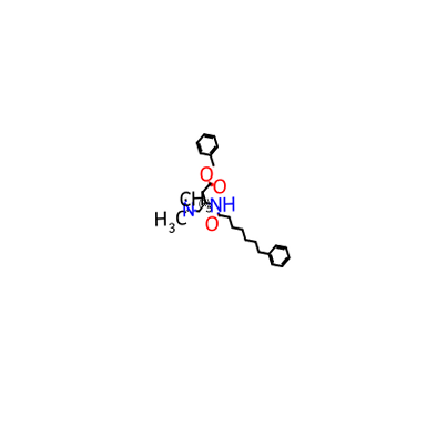 CN(C)C[C@@H](CC(=O)OCc1ccccc1)NC(=O)CCCCCCc1ccccc1